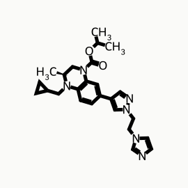 CC(C)OC(=O)N1C[C@H](C)N(CC2CC2)c2ccc(-c3cnn(CCn4ccnc4)c3)cc21